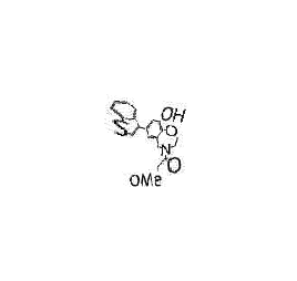 COCC(=O)N1CCOc2c(O)cc(-c3csc4ccccc34)cc2C1